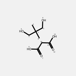 CC(C)(CO)CO.O=C(O)CC(=O)O